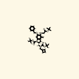 CC(C)(C)OC(=O)CNc1c(OCc2ccccc2)cc2c(c1F)C[C@H](CN(CC1CCC1)C(=O)OC(C)(C)C)N2C(=O)OC(C)(C)C